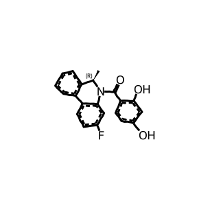 C[C@@H]1c2ccccc2-c2ccc(F)cc2N1C(=O)c1ccc(O)cc1O